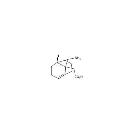 NCC1(CC(=O)O)C2=CCC[C@@H]1CCC2